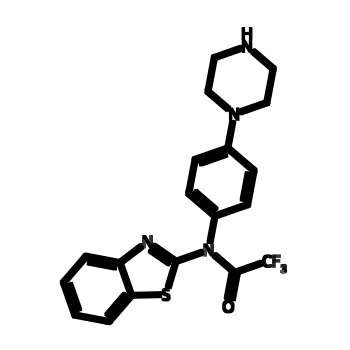 O=C(N(c1ccc(N2CCNCC2)cc1)c1nc2ccccc2s1)C(F)(F)F